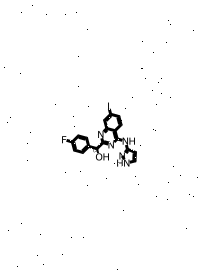 O[C@@H](c1ccc(F)cc1)c1nc(Nc2cc[nH]n2)c2ccc(I)cc2n1